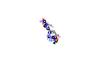 Cn1nc(C2CCC(=O)NC2=O)c2cccc(N3CCC(CN4CCN(c5ncc(Cl)c(Nc6ccc7c(c6)c6c(c(=O)n7C)OCC(F)(F)[C@H](C7CC7)N6)n5)CC4(C)C)CC3)c21